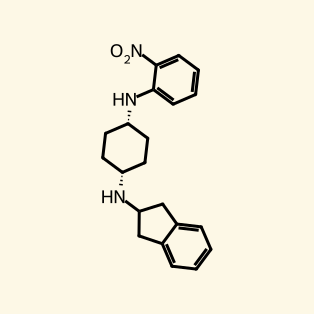 O=[N+]([O-])c1ccccc1N[C@H]1CC[C@@H](NC2Cc3ccccc3C2)CC1